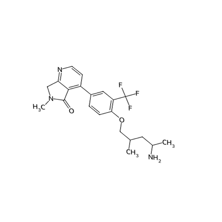 CC(N)CC(C)COc1ccc(-c2ccnc3c2C(=O)N(C)C3)cc1C(F)(F)F